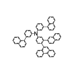 c1cc(-c2cccc3ccccc23)cc(N(c2cccc(-c3cccc4ccccc34)c2)c2ccc(-c3cc4ccccc4c4ccccc34)c(-c3ccc4ccccc4c3)c2)c1